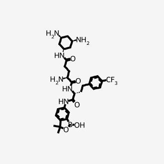 CC1(C)OB(O)c2cc(NC(=O)[C@@H](CCc3ccc(C(F)(F)F)cc3)NC(=O)[C@@H](N)CCC(=O)N[C@H]3C[C@H](N)C[C@H](N)C3)ccc21